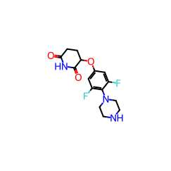 O=C1CCC(Oc2cc(F)c(N3CCNCC3)c(F)c2)C(=O)N1